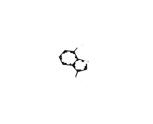 Cc1c[nH]c2c(C#N)cccc12